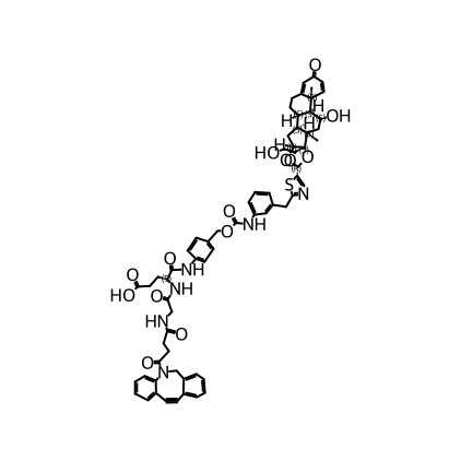 C[C@]12C=CC(=O)C=C1CC[C@@H]1[C@@H]2[C@@H](O)C[C@@]2(C)[C@H]1C[C@H]1O[C@@H](c3cnc(Cc4cccc(NC(=O)OCc5ccc(NC(=O)[C@H](CCC(=O)O)NC(=O)CNC(=O)CCC(=O)N6Cc7ccccc7C#Cc7ccccc76)cc5)c4)s3)O[C@]12C(=O)CO